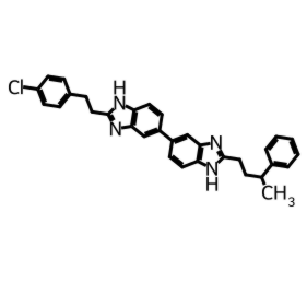 CC(CCc1nc2cc(-c3ccc4[nH]c(CCc5ccc(Cl)cc5)nc4c3)ccc2[nH]1)c1ccccc1